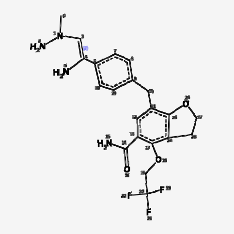 CN(N)/C=C(\N)c1ccc(Cc2cc(C(N)=O)c(OCC(F)(F)F)c3c2OCC3)cc1